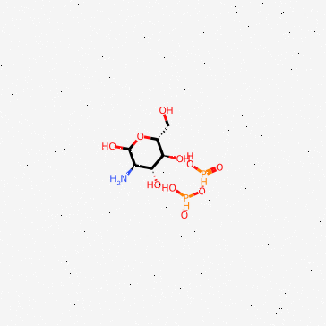 N[C@H]1C(O)O[C@H](CO)[C@@H](O)[C@@H]1O.O=[PH](O)O[PH](=O)O